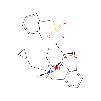 Cc1ccccc1CS(=O)(=O)N[C@H]1CC[C@@]2(O)[C@H]3Cc4cccc5c4[C@@]2(CCN3CC2CC2)[C@H]1O5